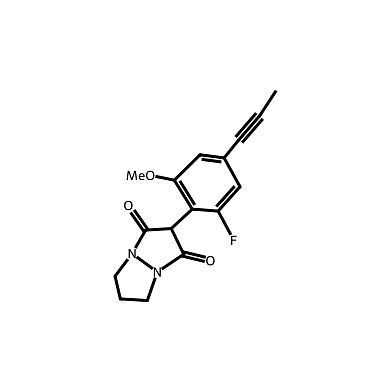 CC#Cc1cc(F)c(C2C(=O)N3CCCN3C2=O)c(OC)c1